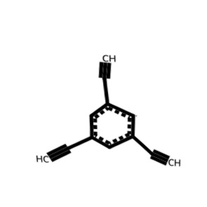 C#Cc1[c]c(C#C)cc(C#C)c1